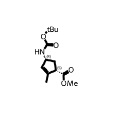 COC(=O)[C@H]1C[C@@H](NC(=O)OC(C)(C)C)C=C1C